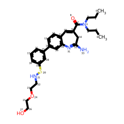 CCCN(CCC)C(=O)C1=Cc2ccc(-c3cccc(SNCCOCCO)c3)cc2N=C(N)C1